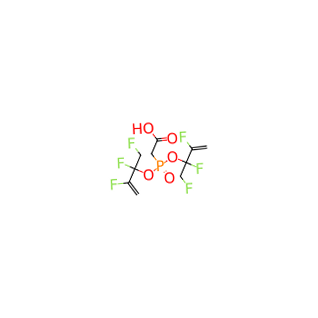 C=C(F)C(F)(CF)OP(=O)(CC(=O)O)OC(F)(CF)C(=C)F